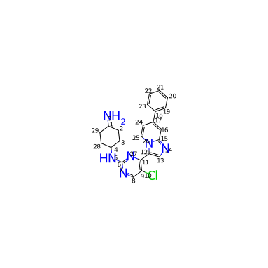 NC1CCC(Nc2ncc(Cl)c(-c3cnc4cc(-c5ccccc5)ccn34)n2)CC1